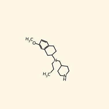 CCCN(CC1CCNCC1)C1CCc2ccc(OC)cc2C1